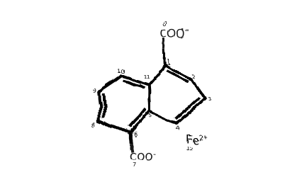 O=C([O-])c1cccc2c(C(=O)[O-])cccc12.[Fe+2]